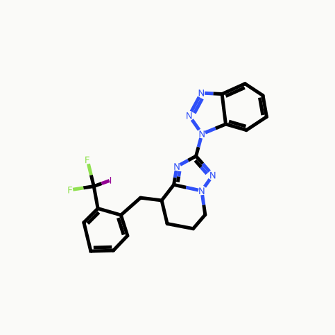 FC(F)(I)c1ccccc1CC1CCCn2nc(-n3nnc4ccccc43)nc21